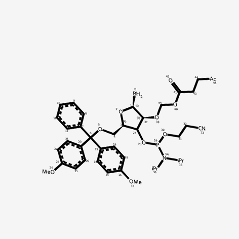 B[C@@H]1O[C@H](COC(c2ccccc2)(c2ccc(OC)cc2)c2ccc(OC)cc2)C(OP(OCCC#N)N(C(C)C)C(C)C)[C@@H]1OCOC(=O)CCC(C)=O